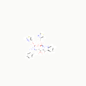 O=C(N[C@@H](Cc1ccccc1)C[C@H](O)[C@H](Cc1ccccc1)NC(=O)OCc1cscn1)OCc1cscn1